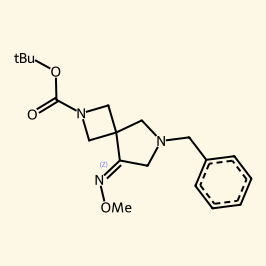 CO/N=C1\CN(Cc2ccccc2)CC12CN(C(=O)OC(C)(C)C)C2